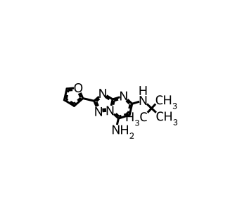 CC(C)(C)Nc1cc(N)n2nc(-c3ccco3)nc2n1